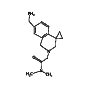 CN(C)C(=O)CN1Cc2cc(CP)ccc2C2(CC2)C1